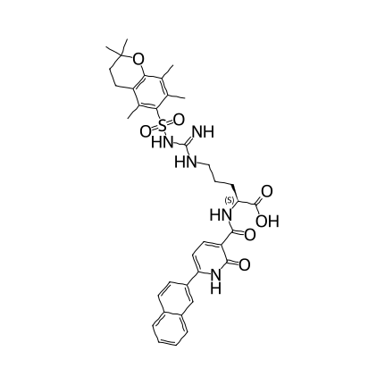 Cc1c(C)c(S(=O)(=O)NC(=N)NCCC[C@H](NC(=O)c2ccc(-c3ccc4ccccc4c3)[nH]c2=O)C(=O)O)c(C)c2c1OC(C)(C)CC2